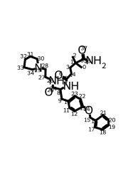 CC(C)(C[CH]C(=O)NC(Cc1ccc(OCc2ccccc2)cc1)C(=O)NCCN1CCCCC1)C(N)=O